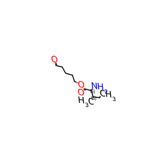 CC[C@H](C)[C@H](N)C(=O)OCCCCC=O